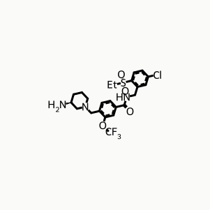 CCS(=O)(=O)c1ccc(Cl)cc1CNC(=O)c1ccc(CN2CCC[C@H](N)C2)c(OC(F)(F)F)c1